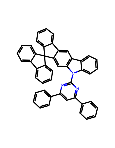 c1ccc(-c2cc(-c3ccccc3)nc(-n3c4ccccc4c4cc5c(cc43)C3(c4ccccc4-c4ccccc43)c3ccccc3-5)n2)cc1